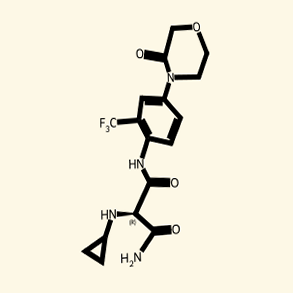 NC(=O)[C@@H](NC1CC1)C(=O)Nc1ccc(N2CCOCC2=O)cc1C(F)(F)F